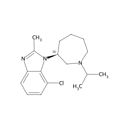 Cc1nc2cccc(Cl)c2n1[C@H]1CCCCN(C(C)C)C1